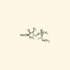 C=CCC[C@H](CC(C)C(=O)N(C)OC)OS(C)(=O)=O